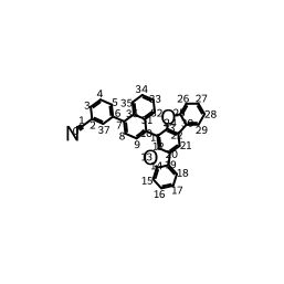 N#Cc1cccc(-c2ccc(-c3c4oc5ccccc5c4cc4c3oc3ccccc34)c3ccccc23)c1